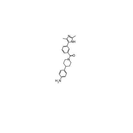 Cc1nc(C)c(-c2cccc(C(=O)N3CCC(c4ccc(N)cc4)CC3)c2)[nH]1